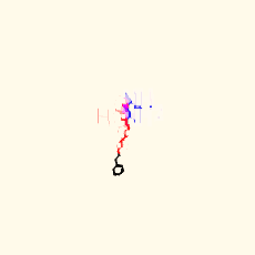 NC(=O)NC(O)COCCOCCCc1ccccc1